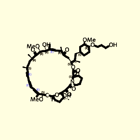 CO[C@H]1C[C@@H]2CC[C@@H](C)[C@@](O)(O2)C(=O)C(=O)N2CCCC[C@H]2C(=O)O[C@H]([C@H](C)C[C@@H]2CC[C@@H](OCCCO)[C@H](OC)C2)CC(=O)[C@H](C)/C=C(\C)[C@@H](O)[C@@H](OC)C(=O)[C@H](C)C[C@H](C)/C=C/C=C/C=C/1C